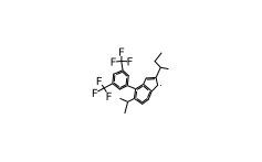 CCC(C)C1=Cc2c(ccc(C(C)C)c2-c2cc(C(F)(F)F)cc(C(F)(F)F)c2)[CH]1